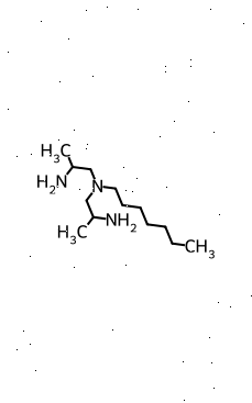 CCCCCCCN(CC(C)N)CC(C)N